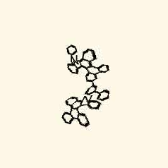 c1ccc(-c2cc(-c3ccc4c(c3)c3ccccc3c3c5ccccc5c5c(c6ccccc6n5-c5ccccc5)c43)ccc2-n2c3ccccc3c3c4c5ccccc5c5ccccc5c4c4ccccc4c32)cc1